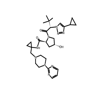 CC(C)(C)[C@@H](C(=O)N1C[C@H](O)C[C@H]1C(=O)NC1(CN2CCN(c3ncccn3)CC2)CC1)n1cc(C2CC2)nn1